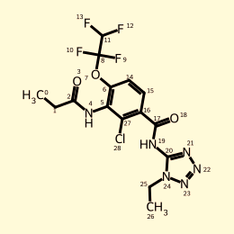 CCC(=O)Nc1c(OC(F)(F)C(F)F)ccc(C(=O)Nc2nnnn2CC)c1Cl